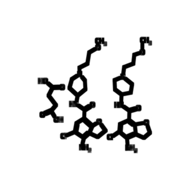 COCCCN1CCC(NC(=O)c2cc(Cl)c(N)c3c2OCC3)CC1.COCCCN1CCC(NC(=O)c2cc(Cl)c(N)c3c2OCC3)CC1.O=C(O)CCC(=O)O